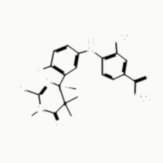 COC(=O)c1ccc(Nc2ccc(F)c([C@@]3(C)N=C(N)N(C)C(=O)C3(C)C)c2)c(OC)c1